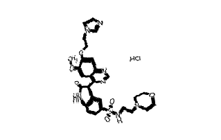 COc1cc2c(C3C(=O)Nc4ccc(S(=O)(=O)NCCN5CCOCC5)cc43)ncnc2cc1OCCn1ccnc1.Cl